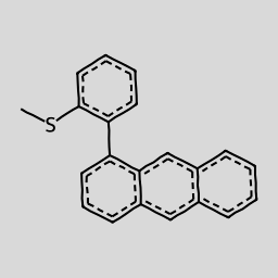 CSc1ccccc1-c1cccc2cc3ccccc3cc12